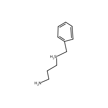 NCCC[SiH2]Cc1ccccc1